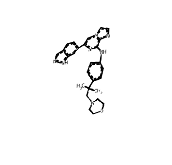 CC(C)(CN1CCOCC1)c1ccc(Nc2nc(-c3ccc4cn[nH]c4c3)cn3ccnc23)cc1